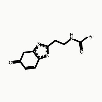 CC(C)C(=O)NCCc1nc2c(s1)CC(=O)C=C2